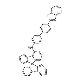 c1ccc2c(c1)-c1ccccc1C21c2ccccc2-c2c(Nc3ccc(-c4ccc(-c5nc6ccccc6o5)cc4)cc3)cccc21